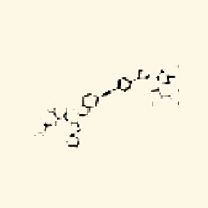 COC(=O)N[C@H](C(=O)N1C[C@]2(CCCO2)C[C@H]1c1nc2cc(C#Cc3ccc(-c4c[nH]c([C@@H]5C[C@@](C)(F)CN5C(=O)[C@@H](C)C(C)C)n4)cc3)ccc2[nH]1)C(C)C